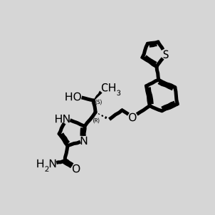 C[C@H](O)[C@H](CCOc1cccc(-c2cccs2)c1)c1nc(C(N)=O)c[nH]1